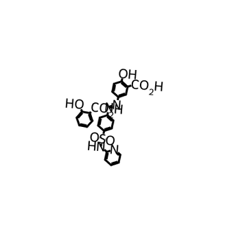 O=C(O)c1cc(N=Nc2ccc(S(=O)(=O)Nc3ccccn3)cc2)ccc1O.O=C(O)c1ccccc1O